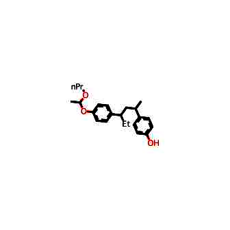 CCCOC(C)Oc1ccc(C(CC)CC(C)c2ccc(O)cc2)cc1